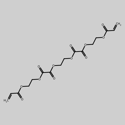 C=CC(=O)OCCOC(=O)C(=O)OCCOC(=O)C(=O)OCCOC(=O)C=C